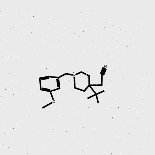 COc1cccc(CN2CCC(CC#N)(C(C)(C)C)CC2)c1